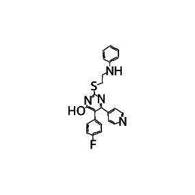 Oc1nc(SCCNc2ccccc2)nc(-c2ccncc2)c1-c1ccc(F)cc1